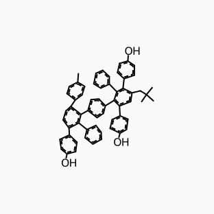 Cc1ccc(-c2ccc(-c3ccc(O)cc3)c(-c3ccccc3)c2-c2ccc(-c3c(-c4ccc(O)cc4)cc(CC(C)(C)C)c(-c4ccc(O)cc4)c3-c3ccccc3)cc2)cc1